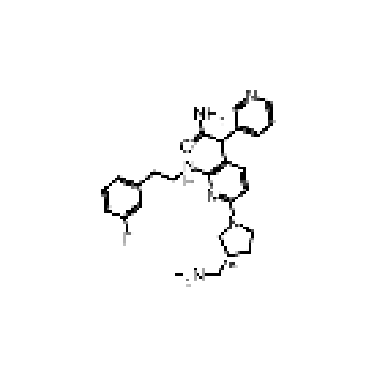 NC[C@@H]1CCN(c2ccc(C(C(N)=O)c3cccnc3)c(NCCc3cccc(F)c3)n2)C1